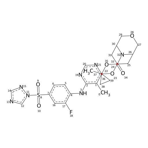 Cc1c(Nc2ccc(S(=O)(=O)n3cncn3)cc2F)ncnc1OC1CC2COCC(C1)N2C(=O)OC1(C)CC1